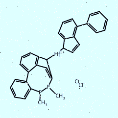 Cp1c2cc3c(cccc3c3ccccc3p1C)[CH]2[Hf+2][CH]1C=Cc2c(-c3ccccc3)cccc21.[Cl-].[Cl-]